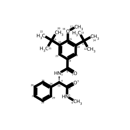 CNC(=O)[C@@H](NC(=O)c1cc(C(C)(C)C)c(OC)c(C(C)(C)C)c1)c1ccccc1